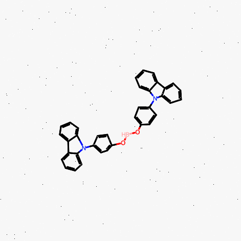 B(Oc1ccc(-n2c3ccccc3c3ccccc32)cc1)Oc1ccc(-n2c3ccccc3c3ccccc32)cc1